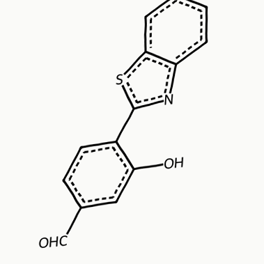 O=Cc1ccc(-c2nc3ccccc3s2)c(O)c1